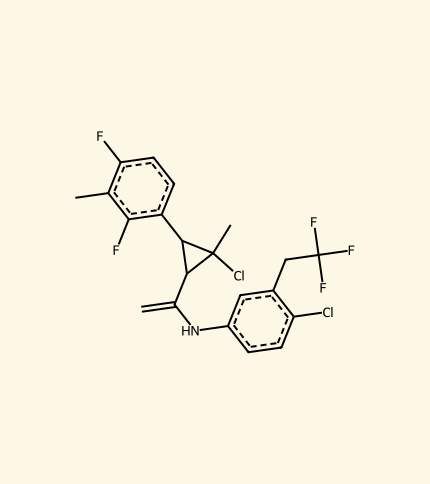 C=C(Nc1ccc(Cl)c(CC(F)(F)F)c1)C1C(c2ccc(F)c(C)c2F)C1(C)Cl